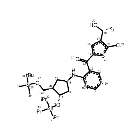 CC(C)[Si](O[C@H]1C[C@H](Nc2ncncc2C(=O)c2cc([C@@H](C)O)c(Cl)s2)C[C@@H]1CO[Si](C)(C)C(C)(C)C)(C(C)C)C(C)C